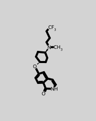 CN(CCCC(F)(F)F)[C@H]1CC[C@H](Oc2ccc3c(=O)[nH]ccc3c2)CC1